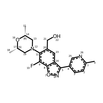 Cc1ccc(-c2noc3c(F)c(N4C[C@@H](C)O[C@@H](C)C4)c(CO)cc23)cn1